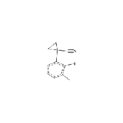 Cc1cccc(C2(C#N)CC2)c1I